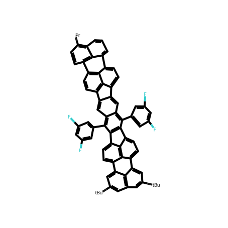 CC(C)c1ccc2c3ccc4c5cc6c(-c7cc(F)cc(F)c7)c7c8ccc9c%10cc(C(C)(C)C)cc%11cc(C(C)(C)C)cc(c%12ccc(c7c(-c7cc(F)cc(F)c7)c6cc5c5ccc(c6cccc1c62)c3c54)c8c%129)c%11%10